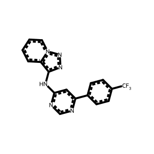 FC(F)(F)c1ccc(-c2cc(Nc3nnn4ccccc34)ncn2)cc1